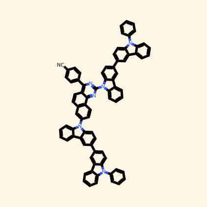 N#Cc1ccc(-c2nc(-n3c4ccccc4c4cc(-c5ccc6c(c5)c5ccccc5n6-c5ccccc5)ccc43)nc3c2ccc2cc(-n4c5ccccc5c5cc(-c6ccc7c(c6)c6ccccc6n7-c6ccccc6)ccc54)ccc23)cc1